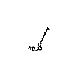 CC(C)CCCCCCCCCCOc1cccc(CN2CCN(C(C)C)CC2)c1